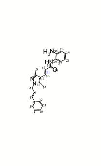 Cc1nn(CC=Cc2ccccc2)c(C)c1/C=C/C(=O)Nc1ccccc1N